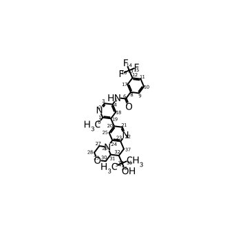 Cc1ncc(NC(=O)c2cccc(C(F)(F)F)c2)cc1-c1cnc2c(c1)N1CCOCC1C(C(C)(C)O)C2